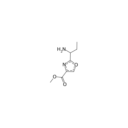 CCC(N)c1nc(C(=O)OC)co1